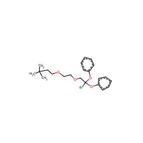 CC(C)(C)CCOCCOCC(Br)(Oc1ccccc1)Oc1ccccc1